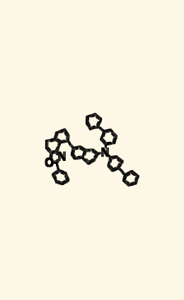 c1ccc(-c2ccc(N(c3cccc(-c4ccccc4)c3)c3ccc4ccc(-c5cccc6ccc7oc(-c8ccccc8)nc7c56)cc4c3)cc2)cc1